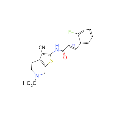 N#Cc1c(NC(=O)/C=C/c2ccccc2F)sc2c1CCN(C(=O)O)C2